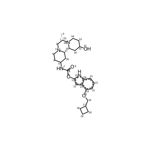 C[C@@H](CN1CCC(NC(=O)Oc2cc3c(OCC4CCC4)cccc3[nH]2)CC1)N1CCC(O)CC1